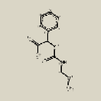 COCNC(=O)SC(C(=O)O)c1ccccc1